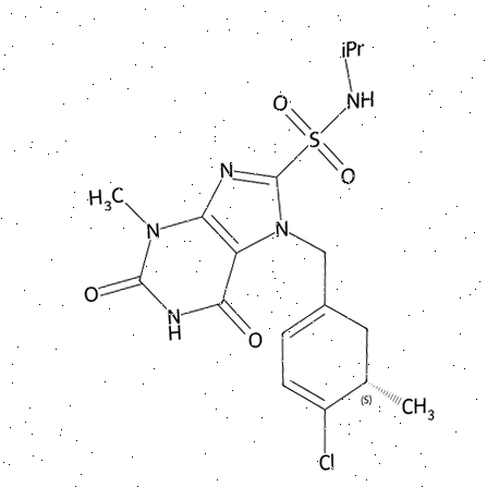 CC(C)NS(=O)(=O)c1nc2c(c(=O)[nH]c(=O)n2C)n1CC1=CC=C(Cl)[C@@H](C)C1